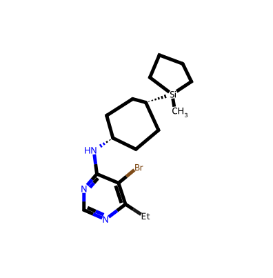 CCc1ncnc(N[C@H]2CC[C@@H]([Si]3(C)CCCC3)CC2)c1Br